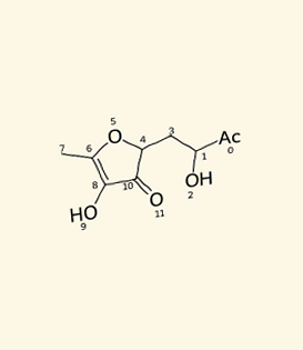 CC(=O)C(O)CC1OC(C)=C(O)C1=O